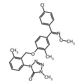 CON=C(c1ccc(Cl)cc1)c1ccc(OCc2c(C)cccc2-n2nnn(C)c2=O)c(C)c1